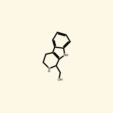 OCC1NCCc2c1[nH]c1ccccc21